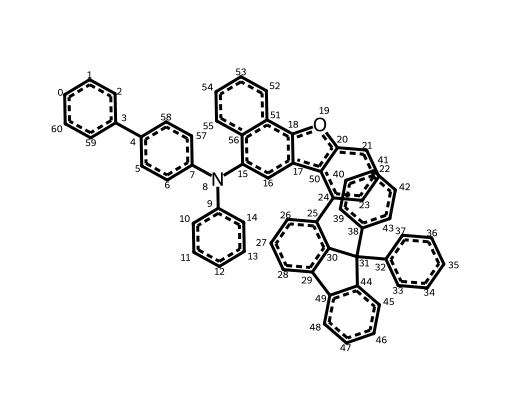 c1ccc(-c2ccc(N(c3ccccc3)c3cc4c(oc5cccc(-c6cccc7c6C(c6ccccc6)(c6ccccc6)c6ccccc6-7)c54)c4ccccc34)cc2)cc1